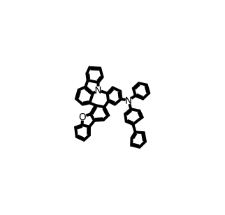 c1ccc(-c2ccc(N(c3ccccc3)c3ccc4c(c3)-c3ccc5c(oc6ccccc65)c3-c3cccc5c6ccccc6n-4c35)cc2)cc1